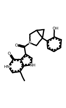 Cc1c[nH]c(=O)c2c(C(=O)N3CC4CC4(c4ccccc4O)C3)c[nH]c12